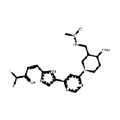 COC1CCN(c2cc(-c3cnc(/C=C\C(=N)C(F)F)[nH]3)ncn2)CC1CN[S+](C)[O-]